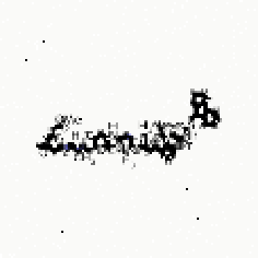 COC(=O)C[C@@H]1C[C@@]2(CO2)C[C@@H](/C=C/C(C)=C/C[C@@H]2O[C@H](C)[C@H](NC(=O)/C=C\[C@H](C)OC(=O)CCc3ccccc3N(C(=O)[C@@H](NC(=O)OCC3c4ccccc4-c4ccccc43)C(C)C)[C@@H](C)C(N)=O)C[C@@H]2C)O1